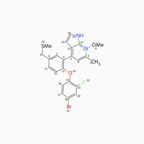 CO[n+]1c(C)cc(-c2cc(CSC)ccc2Oc2ccc(Br)cc2F)c2cc[nH]c21